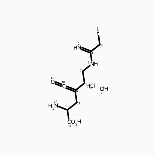 Cl.Cl.N=C(CF)NCCC(=C=O)CC(N)C(=O)O